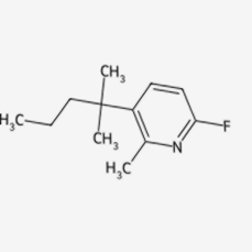 CCCC(C)(C)c1ccc(F)nc1C